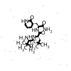 CC(C)(C)C[C@H](NC[C@@H](N)C(C)(C)C)C(=O)N[C@@H](C[C@@H]1CCCNC1=O)C(N)=O